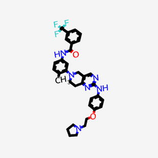 Cc1ccc(NC(=O)c2cccc(C(F)(F)F)c2)cc1N1CCc2nc(Nc3ccc(OCCN4CCCC4)cc3)ncc2C1